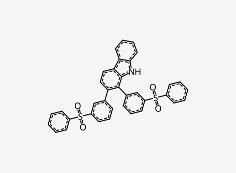 O=S(=O)(c1ccccc1)c1cccc(-c2ccc3c([nH]c4ccccc43)c2-c2cccc(S(=O)(=O)c3ccccc3)c2)c1